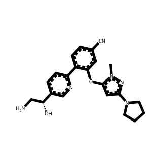 Cn1nc(N2CCCC2)cc1Oc1cc(C#N)ccc1-c1ccc([C@H](O)CN)cn1